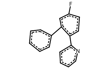 Fc1ccc(-c2ccccn2)c(-c2ccccc2)c1